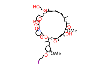 COC1C(=O)C(C)CC(C)C=CC=CC=C(C)C(OCCO)CC2CCC(C)C(O)(O2)C(=O)C(=O)N2CCCCC2C(=O)OC(C(C)C[C@@H]2CC[C@@H](OCCCI)[C@H](OC)C2)CC(=O)C(C)C=C(C)C1O